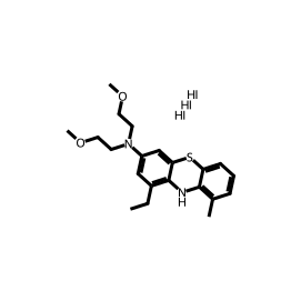 CCc1cc(N(CCOC)CCOC)cc2c1Nc1c(C)cccc1S2.I.I.I